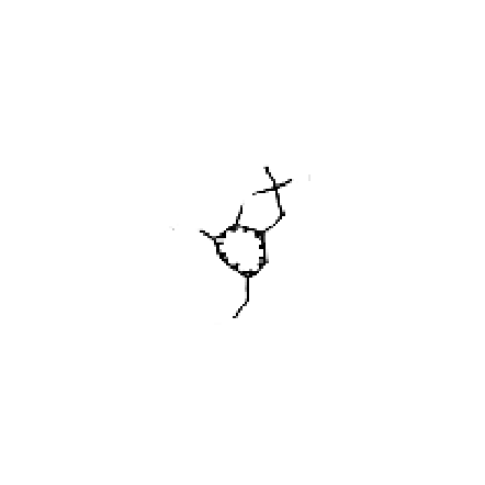 COc1cc(CO)cc2c1OC(C)(C)C2